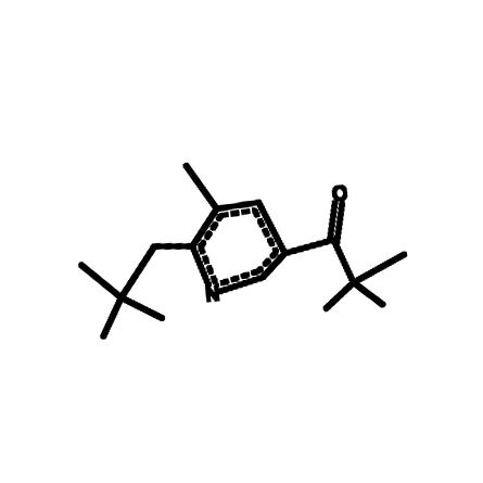 Cc1cc(C(=O)C(C)(C)C)cnc1CC(C)(C)C